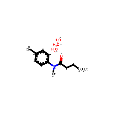 CCOC(=O)CCC(=O)N(CC)c1cc[c]([Ge])cc1.O.O.O